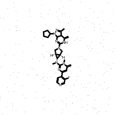 C=C1NC(N2C[C@@H]3[C@H](C2)[C@H]3N(C)C2=NC(c3ccncc3F)=CC(=C)N2C)=NC2C1C(C)=NN2C1CCCC1